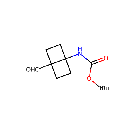 CC(C)(C)OC(=O)NC12CCC1(C=O)CC2